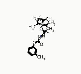 Cc1cccc(OC(=O)/N=N/C(=O)O[Si](C(C)C)(C(C)C)C(C)C)c1